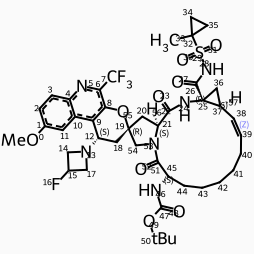 COc1ccc2nc(C(F)(F)F)c3c(c2c1)[C@@H](N1CC(F)C1)C[C@]1(C[C@H]2C(=O)N[C@]4(C(=O)NS(=O)(=O)C5(C)CC5)C[C@H]4/C=C\CCCCC[C@H](NC(=O)OC(C)(C)C)C(=O)N2C1)O3